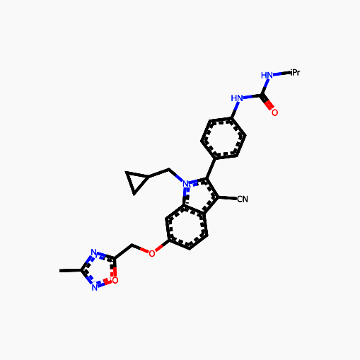 Cc1noc(COc2ccc3c(C#N)c(-c4ccc(NC(=O)NC(C)C)cc4)n(CC4CC4)c3c2)n1